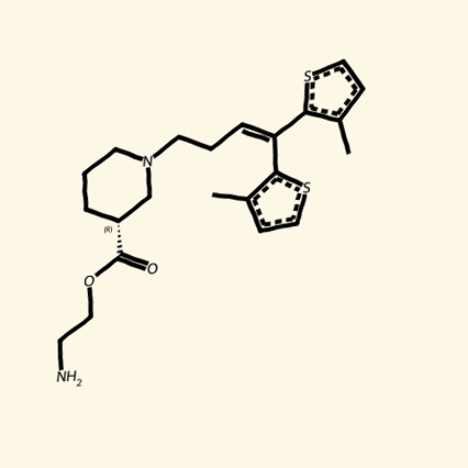 Cc1ccsc1C(=CCCN1CCC[C@@H](C(=O)OCCN)C1)c1sccc1C